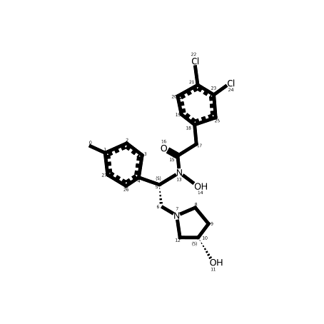 Cc1ccc([C@@H](CN2CC[C@H](O)C2)N(O)C(=O)Cc2ccc(Cl)c(Cl)c2)cc1